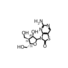 Nc1ncc2sc(=O)n(C3O[C@H](CO)[C@@H](CO)[C@H]3O)c2n1